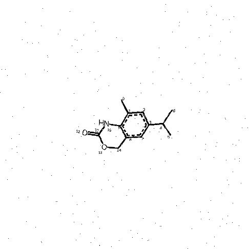 Cc1cc(C(C)C)cc2c1NC(=O)OC2